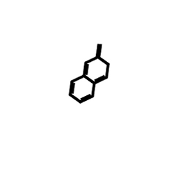 C=C1C=c2ccccc2=CC1